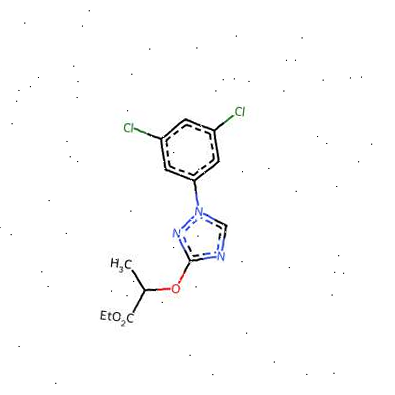 CCOC(=O)C(C)Oc1ncn(-c2cc(Cl)cc(Cl)c2)n1